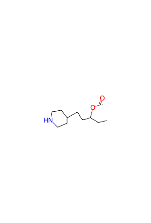 CCC(CCC1CCNCC1)O[C]=O